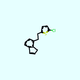 Clc1ccc(CCc2cccc3c2CC=C3)s1